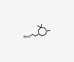 COCCN1CCN(C)CC(C)(C)C1